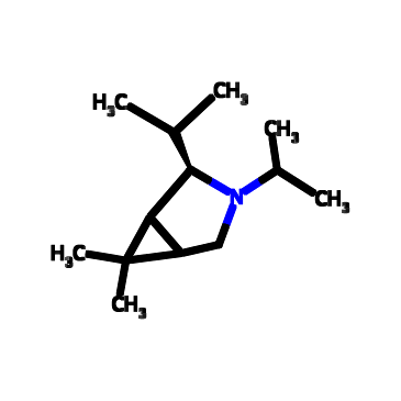 CC(C)[C@@H]1C2C(CN1C(C)C)C2(C)C